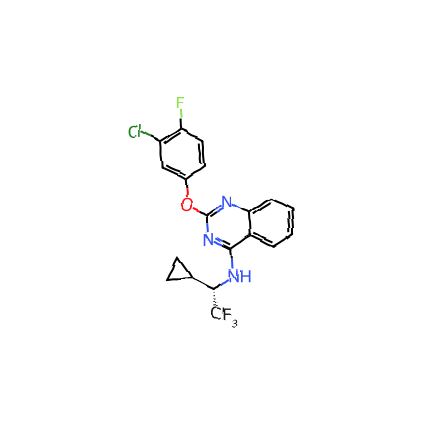 Fc1ccc(Oc2nc(N[C@@H](C3CC3)C(F)(F)F)c3ccccc3n2)cc1Cl